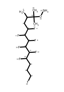 CC(CC(F)C(F)C(F)C(F)C(F)C(F)CCCF)C(C)(C)O[SiH3]